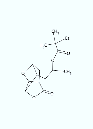 CCC(C)(C)C(=O)OC(C)CC1C2CC3C(=O)OC1C3O2